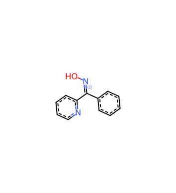 O/N=C(/c1ccccc1)c1ccccn1